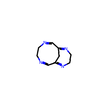 C1=NCCN=CC2=NCCN=C1C2